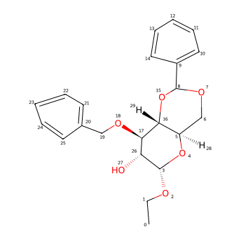 CCO[C@H]1O[C@@H]2COC(c3ccccc3)O[C@H]2[C@H](OCc2ccccc2)[C@H]1O